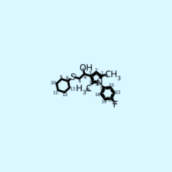 Cc1cc(C(O)CSC2CCCCC2)c(C)n1-c1ccc(F)cc1